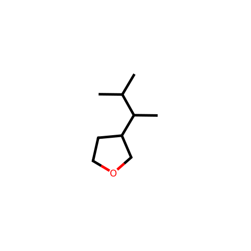 CC(C)C(C)C1CCOC1